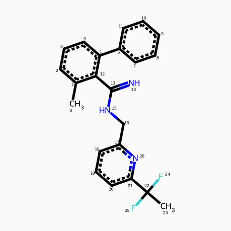 Cc1cccc(-c2ccccc2)c1C(=N)NCc1cccc(C(C)(F)F)n1